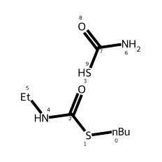 CCCCSC(=O)NCC.NC(=O)S